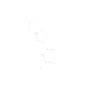 CC(O)Cn1cc(-c2nc(Cl)ncc2C(F)(F)F)cn1